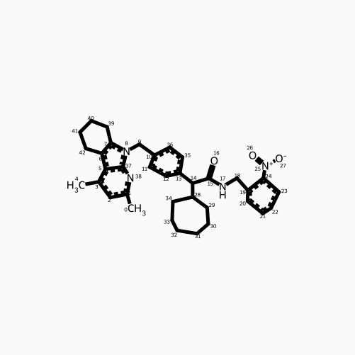 Cc1cc(C)c2c3c(n(Cc4ccc(C(C(=O)NCc5ccccc5[N+](=O)[O-])C5CCCCCC5)cc4)c2n1)CCCC3